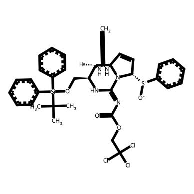 C=C1N[C@H]2[C@H](CO[Si](c3ccccc3)(c3ccccc3)C(C)(C)C)N/C(=N\C(=O)OCC(Cl)(Cl)Cl)N3[C@@H]([S+]([O-])c4ccccc4)C=CC23N1